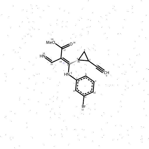 C#CC1C[C@H]1/C(Nc1cccc(Br)c1)=C(/C=N)C(=O)OC